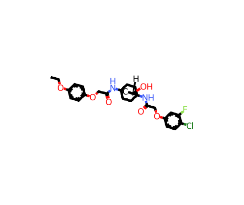 CCOc1ccc(OCC(=O)NC23CCC(NC(=O)COc4ccc(Cl)c(F)c4)(CC2)[C@@H](O)C3)cc1